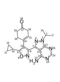 CC(C)n1nc(-c2noc(C3CC3)c2C2=CCC(=O)CC2)c2c(N)ncnc21